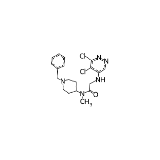 CN(C(=O)CNc1cnnc(Cl)c1Cl)C1CCN(Cc2ccccc2)CC1